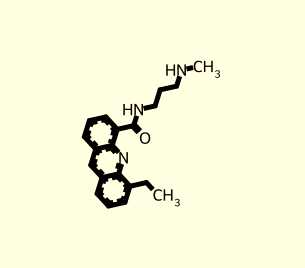 CCc1cccc2cc3cccc(C(=O)NCCCNC)c3nc12